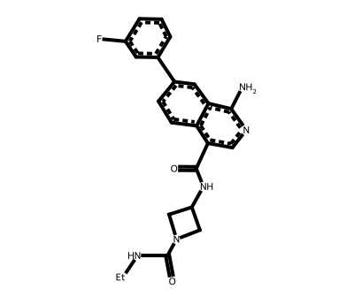 CCNC(=O)N1CC(NC(=O)c2cnc(N)c3cc(-c4cccc(F)c4)ccc23)C1